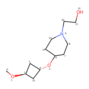 CO[C@H]1C[C@H](OC2CCN(CCO)CC2)C1